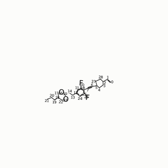 C=CC1CCC(C#Cc2c(F)cc(CC[C@H]3OC[C@H](CCC)CO3)cc2F)CC1